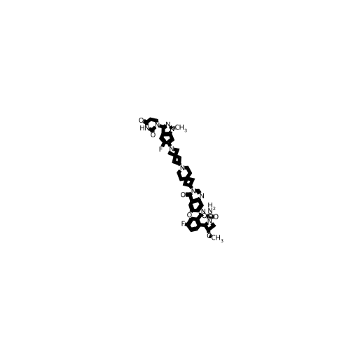 COC1CN(S(N)(=O)=O)C1c1ccc(F)c(Oc2ccc3ncn(C4CC5(CCN(C6CC7(C6)CN(c6cc8c(cc6F)c(N6CCC(=O)NC6=O)nn8C)C7)CC5)C4)c(=O)c3c2)c1C#N